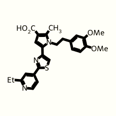 CCc1cc(-c2nc(-c3cc(C(=O)O)c(C)n3CCc3ccc(OC)c(OC)c3)cs2)ccn1